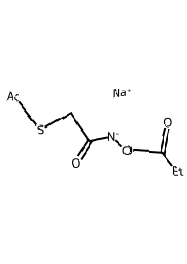 CCC(=O)O[N-]C(=O)CSC(C)=O.[Na+]